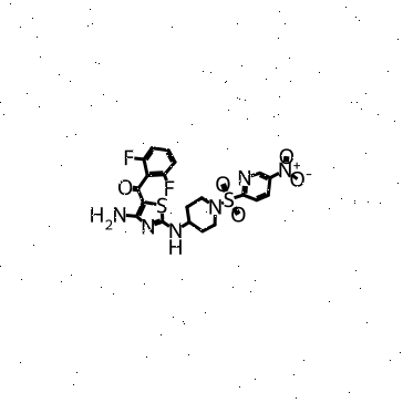 Nc1nc(NC2CCN(S(=O)(=O)c3ccc([N+](=O)[O-])cn3)CC2)sc1C(=O)c1c(F)cccc1F